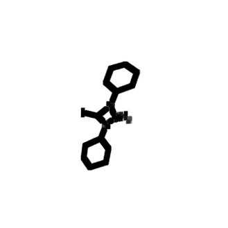 IC1N(C2CCCCC2)[SiH2]N1C1CCCCC1